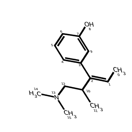 C/C=C(\c1cccc(O)c1)C(C)CN(C)C